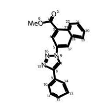 COC(=O)c1cc(-n2cc(-c3ccccc3)nn2)cc2ccccc12